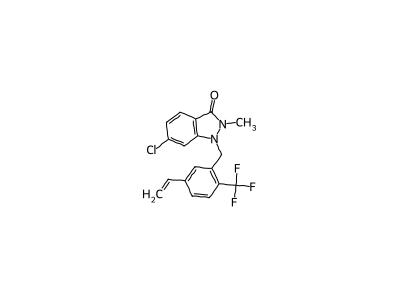 C=Cc1ccc(C(F)(F)F)c(Cn2c3cc(Cl)ccc3c(=O)n2C)c1